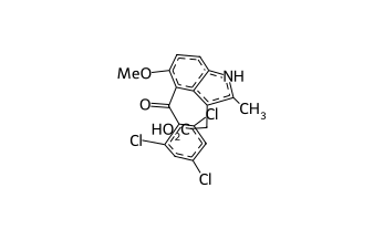 COc1ccc2[nH]c(C)c(CC(=O)O)c2c1C(=O)c1c(Cl)cc(Cl)cc1Cl